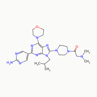 CC(C)Cn1c(N2CCN(C(=O)CN(C)C)CC2)nc2c(N3CCOCC3)nc(-c3cnc(N)nc3)nc21